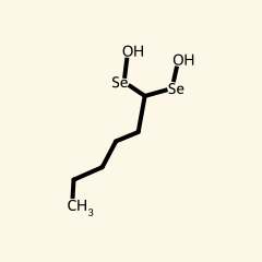 CCCCCC([Se]O)[Se]O